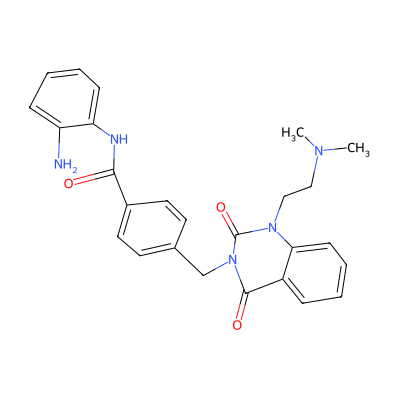 CN(C)CCn1c(=O)n(Cc2ccc(C(=O)Nc3ccccc3N)cc2)c(=O)c2ccccc21